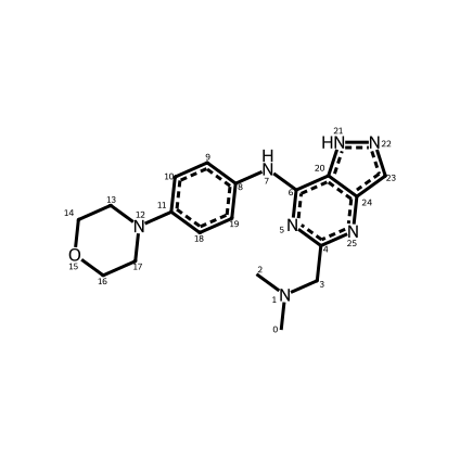 CN(C)Cc1nc(Nc2ccc(N3CCOCC3)cc2)c2[nH]ncc2n1